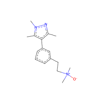 Cc1nn(C)c(C)c1-c1cccc(CC[N+](C)(C)[O-])c1